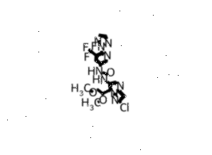 COCC(OC)c1c(NC(=O)Nc2cnc(-n3nccn3)c(C(F)(F)F)c2)cnc2cc(Cl)nn12